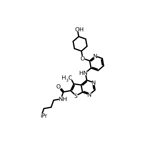 Cc1c(C(=O)NCCCC(C)C)sc2ncnc(Nc3cccnc3OC3CCC(O)CC3)c12